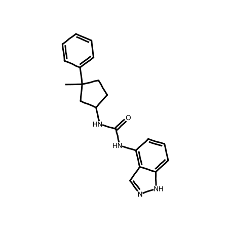 CC1(c2ccccc2)CCC(NC(=O)Nc2cccc3[nH]ncc23)C1